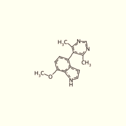 COc1ccc(-c2c(C)ncnc2C)c2cc[nH]c12